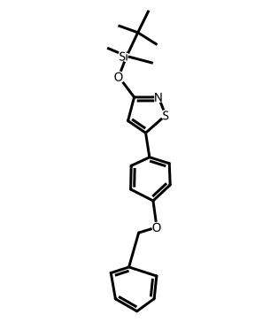 CC(C)(C)[Si](C)(C)Oc1cc(-c2ccc(OCc3ccccc3)cc2)sn1